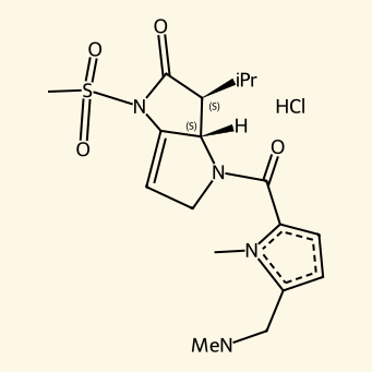 CNCc1ccc(C(=O)N2CC=C3[C@@H]2[C@H](C(C)C)C(=O)N3S(C)(=O)=O)n1C.Cl